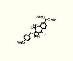 COc1ccc(Cn2nnc3c(=O)c4ccc(C(OC)OC)cc4[nH]c(=O)c32)cc1